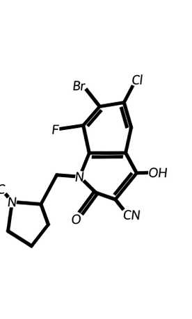 CN1CCCC1Cn1c(=O)c(C#N)c(O)c2cc(Cl)c(Br)c(F)c21